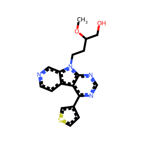 COC(CO)CCn1c2cnccc2c2c(-c3ccsc3)ncnc21